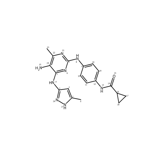 Cc1cc(Nc2nc(Nc3ccc(NC(=O)C4CC4)cc3)nc(C)c2N)n[nH]1